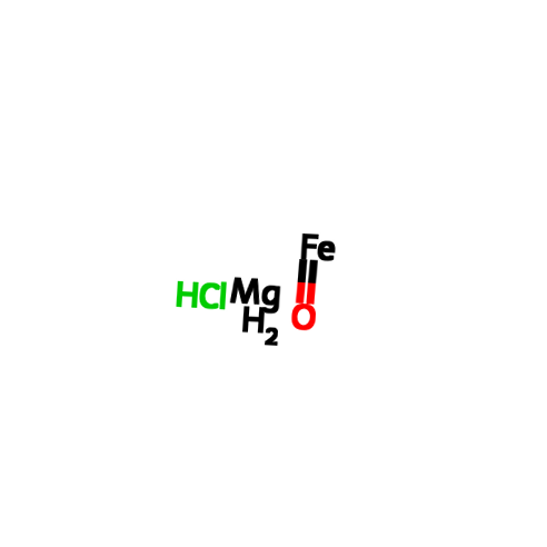 Cl.[MgH2].[O]=[Fe]